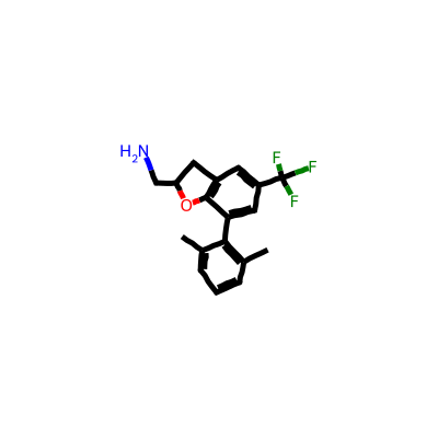 Cc1cccc(C)c1-c1cc(C(F)(F)F)cc2c1OC(CN)C2